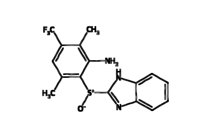 Cc1cc(C(F)(F)F)c(C)c(N)c1[S+]([O-])c1nc2ccccc2[nH]1